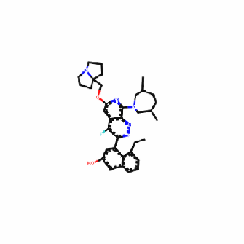 CCc1cccc2cc(O)cc(-c3nnc4c(N5CC(C)CCC(C)C5)nc(OCC56CCCN5CCC6)cc4c3F)c12